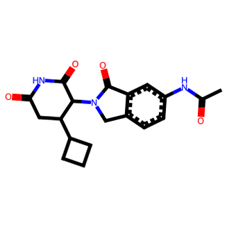 CC(=O)Nc1ccc2c(c1)C(=O)N(C1C(=O)NC(=O)CC1C1CCC1)C2